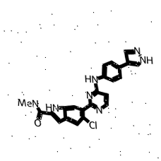 CNC(=O)c1cc2cc(Cl)c(-c3nccc(Nc4ccc(-c5cn[nH]c5)cc4)n3)cc2[nH]1